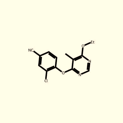 CCOc1ncnc(Oc2ccc(C#N)cc2Cl)c1C